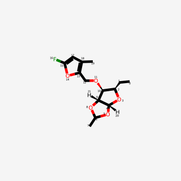 CC[C@H]1O[C@@H]2OC(C)O[C@@H]2[C@H]1OCc1oc(F)cc1C